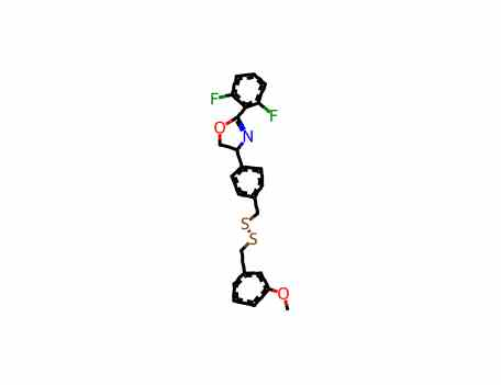 COc1cccc(CSSCc2ccc(C3COC(c4c(F)cccc4F)=N3)cc2)c1